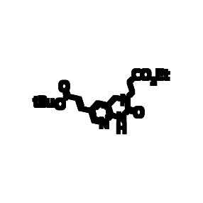 CCOC(=O)CCN1Cc2cc(C=CC(=O)OC(C)(C)C)cnc2NC1=O